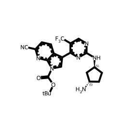 CC(C)(C)OC(=O)n1cc(-c2nc(N[C@H]3CC[C@H](N)C3)ncc2C(F)(F)F)c2ccc(C#N)nc21